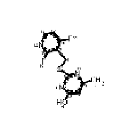 Cc1cc(O)nc(SCc2c(F)ccnc2F)n1